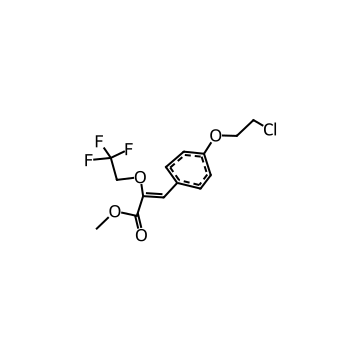 COC(=O)C(=Cc1ccc(OCCCl)cc1)OCC(F)(F)F